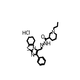 CCCN1CCCC(C(=O)NN=Cc2c(-c3ccccc3)nc3sc4c(n23)CCCC4)C1.Cl